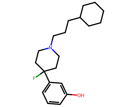 Oc1cccc(C2(F)CCN(CCCC3CCCCC3)CC2)c1